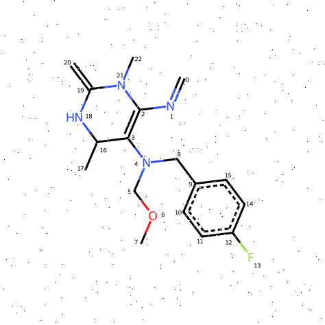 C=NC1=C(N(COC)Cc2ccc(F)cc2)C(C)NC(=C)N1C